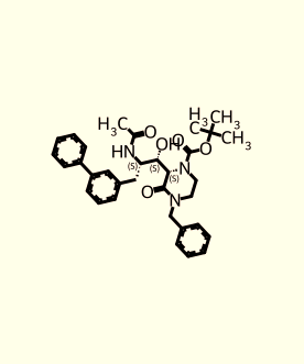 CC(=O)N[C@@H](Cc1cccc(-c2ccccc2)c1)[C@H](O)[C@H]1C(=O)N(Cc2ccccc2)CCN1C(=O)OC(C)(C)C